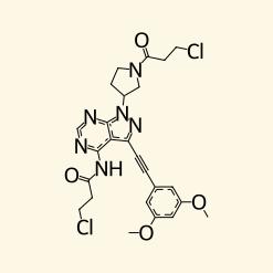 COc1cc(C#Cc2nn(C3CCN(C(=O)CCCl)C3)c3ncnc(NC(=O)CCCl)c23)cc(OC)c1